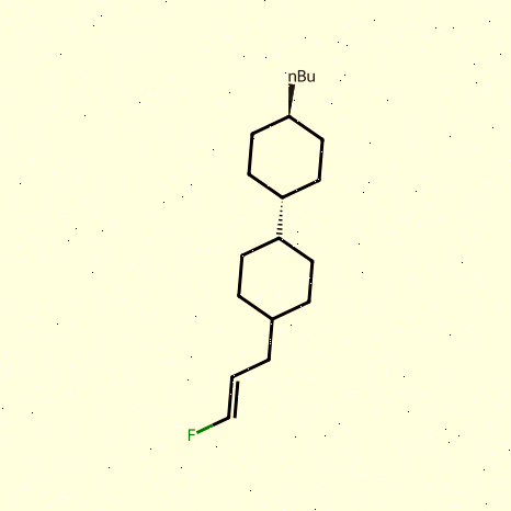 CCCC[C@H]1CC[C@H](C2CCC(C/C=C/F)CC2)CC1